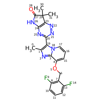 Cc1nc2c(OCc3c(F)cccc3F)cccn2c1-c1nnc2c(n1)NC(=O)C2(C)C